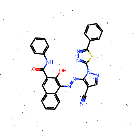 N#Cc1cnn(-c2nnc(-c3ccccc3)s2)c1/N=N/c1c(O)c(C(=O)Nc2ccccc2)cc2ccccc12